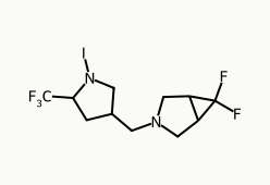 FC(F)(F)C1CC(CN2CC3C(C2)C3(F)F)CN1I